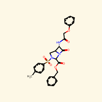 Cc1ccc(S(=O)(=O)N2CC3[C@H](NC(=O)COc4ccccc4)C(=O)N3C2C(=O)OCc2ccccc2)cc1